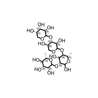 C[C@@H]1OC(O[C@H]2C(O)O[C@@H](C)[C@H](OC3OC[C@@H](O)[C@H](OC4OC[C@H](O)[C@H](O)[C@H]4O)[C@H]3O)[C@H]2O)[C@H](O)[C@H](O)[C@H]1O